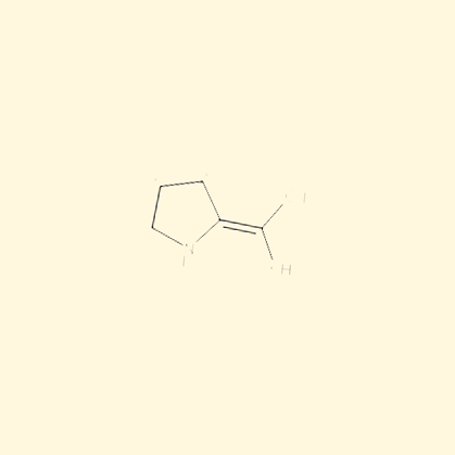 CC(C)=C1CCCN1